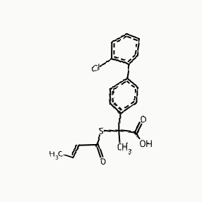 CC=CC(=O)SC(C)(C(=O)O)c1ccc(-c2ccccc2Cl)cc1